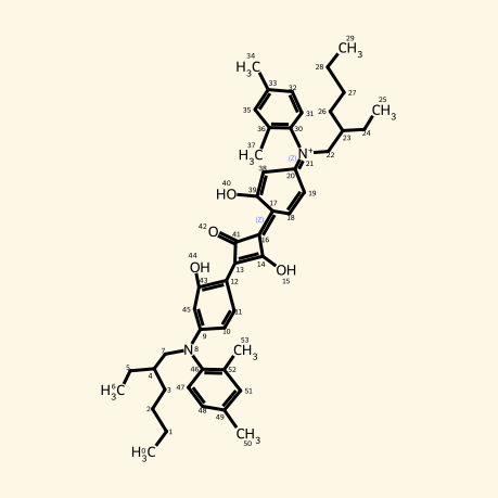 CCCCC(CC)CN(c1ccc(C2=C(O)/C(=C3C=C/C(=[N+](\CC(CC)CCCC)c4ccc(C)cc4C)C=C\3O)C2=O)c(O)c1)c1ccc(C)cc1C